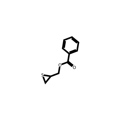 O=C(OCC1CS1)c1ccccc1